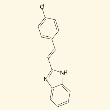 Clc1ccc(C=Cc2nc3ccccc3[nH]2)cc1